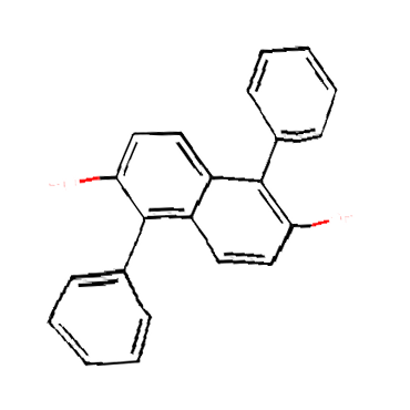 Oc1ccc2c(-c3ccccc3)c(O)ccc2c1-c1ccccc1